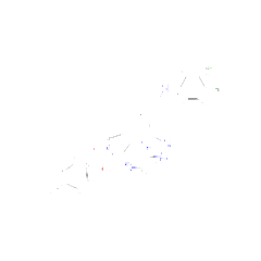 Cc1ccc(S(=O)(=O)n2ccc3c2ncc2nnc([C@@H]4CC[C@@H](Nc5ccc(Cl)c(Cl)c5)C4)n23)cc1